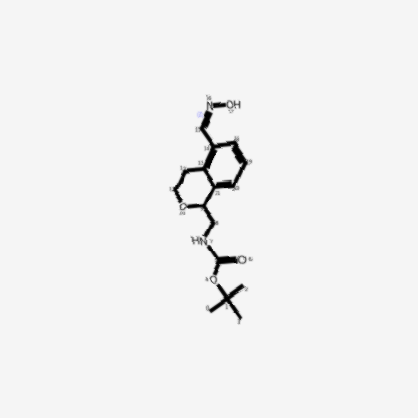 CC(C)(C)OC(=O)NCC1OCCc2c(/C=N\O)cccc21